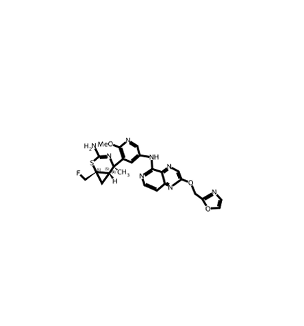 COc1ncc(Nc2nccc3nc(OCc4ncco4)cnc23)cc1[C@]1(C)N=C(N)S[C@@]2(CF)C[C@H]21